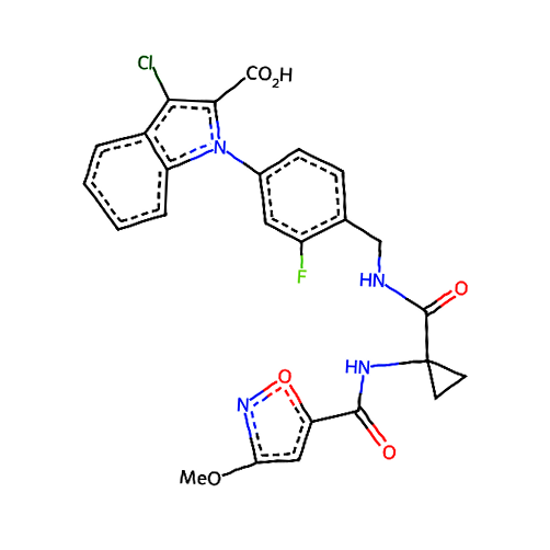 COc1cc(C(=O)NC2(C(=O)NCc3ccc(-n4c(C(=O)O)c(Cl)c5ccccc54)cc3F)CC2)on1